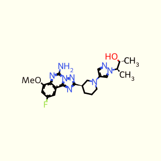 COc1cc(F)cc2c1nc(N)n1nc([C@@H]3CCCN(c4cnn([C@H](C)[C@@H](C)O)c4)C3)nc21